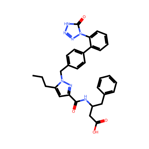 CCCc1cc(C(=O)NC(CC(=O)O)Cc2ccccc2)nn1Cc1ccc(-c2ccccc2-n2nn[nH]c2=O)cc1